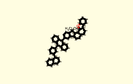 CC1(C)c2ccc(-c3c4ccccc4c(-c4cccc(-c5cccc6ccccc56)c4)c4ccccc34)cc2-c2ccc3ccc4c5ccccc5oc4c3c21